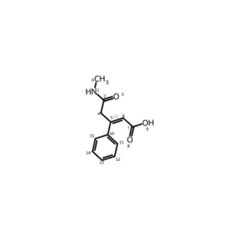 CNC(=O)C/C(=C/C(=O)O)c1ccccc1